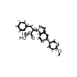 COc1ccc(-c2cc3cnn(C(Cc4ccccc4)C(=O)NO)c3cn2)cn1